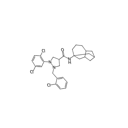 O=C(NC12CCCC3CC(CC3C1)C2)C1CN(Cc2ccccc2Cl)N(c2cc(Cl)ccc2Cl)C1